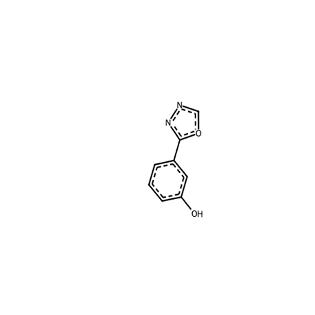 Oc1cccc(-c2nnco2)c1